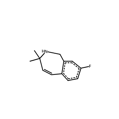 CC1(C)C=Cc2ccc(F)cc2CN1